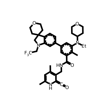 CCN(c1cc(-c2ccc3c(c2)N(CC(F)(F)F)CC32CCOCC2)cc(C(=O)NCC2=C(C)C=C(C)NC2=C=O)c1C)C1CCOCC1